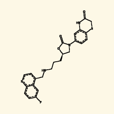 O=C1CSc2ccc(N3C[C@@H](CCCNCc4ccnc5ccc(F)cc45)OC3=O)cc2N1